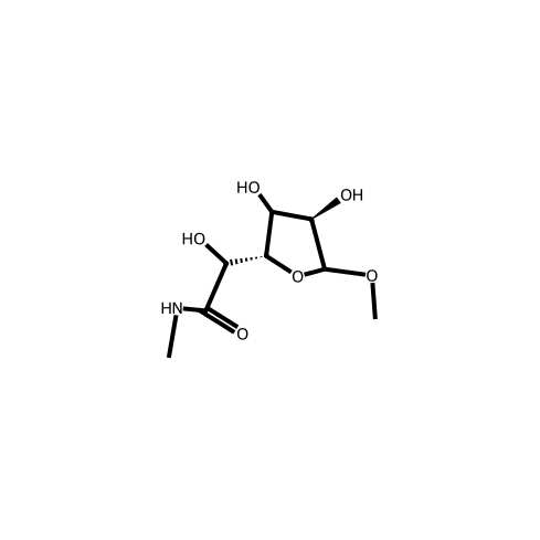 CNC(=O)C(O)[C@H]1OC(OC)[C@H](O)C1O